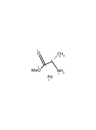 COC(=O)[C@H](C)N.[Pd]